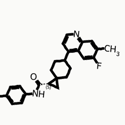 Cc1cc2nccc(C3CCC4(CC3)C[C@@H]4C(=O)Nc3ccc(Cl)cc3)c2cc1F